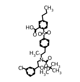 CCCc1ccc(S(=O)(=O)c2ccc(C[C@@H](C)N(C[C@@H](O)c3cccc(Cl)c3)C(=O)OC(C)(C)C)cc2)c(C(=O)O)c1